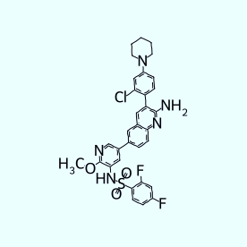 COc1ncc(-c2ccc3nc(N)c(-c4ccc(N5CCCCC5)cc4Cl)cc3c2)cc1NS(=O)(=O)c1ccc(F)cc1F